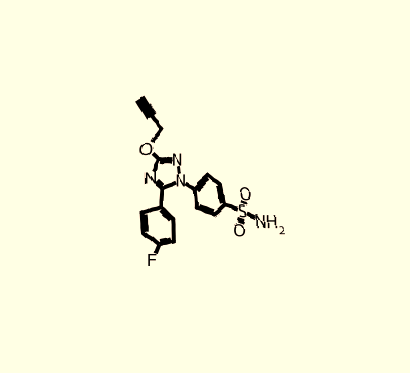 C#CCOc1nc(-c2ccc(F)cc2)n(-c2ccc(S(N)(=O)=O)cc2)n1